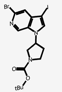 CC(C)(C)OC(=O)N1CCC(n2cc(I)c3cc(Br)ncc32)C1